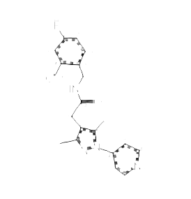 Cc1nn(-c2ccncc2)c(C)c1CC(=O)NCc1ccc(F)cc1Cl